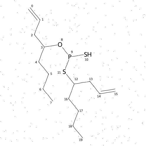 C=CCC(CCCC)OP(S)SC(CC=C)CCCC